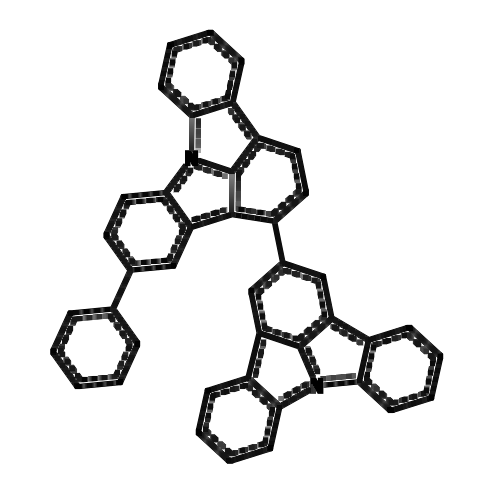 c1ccc(-c2ccc3c(c2)c2c(-c4cc5c6ccccc6n6c7ccccc7c(c4)c56)ccc4c5ccccc5n3c42)cc1